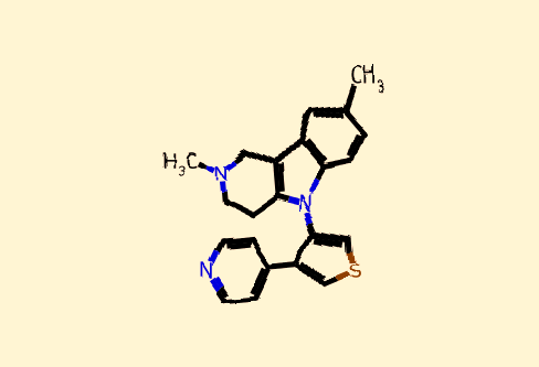 Cc1ccc2c(c1)c1c(n2-c2cscc2-c2ccncc2)CCN(C)C1